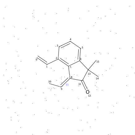 C=Cc1cccc2c1/C(=C\C)C(=O)C2(C)C